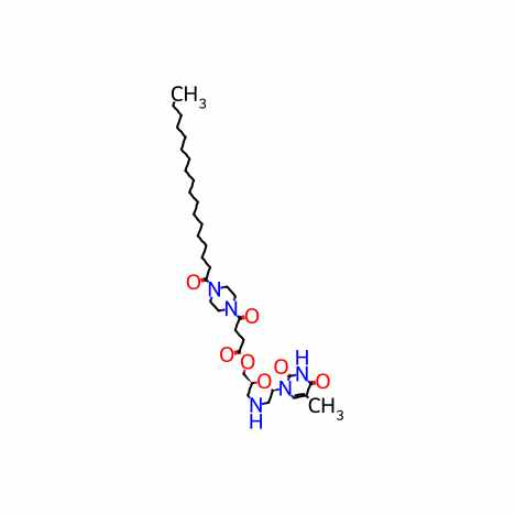 CCCCCCCCCCCCCCCCCC(=O)N1CCN(C(=O)CCC(=O)OC[C@@H]2CNC[C@H](n3cc(C)c(=O)[nH]c3=O)O2)CC1